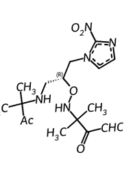 CC(=O)C(C)(C)NC[C@H](Cn1ccnc1[N+](=O)[O-])ONC(C)(C)C(=O)C=O